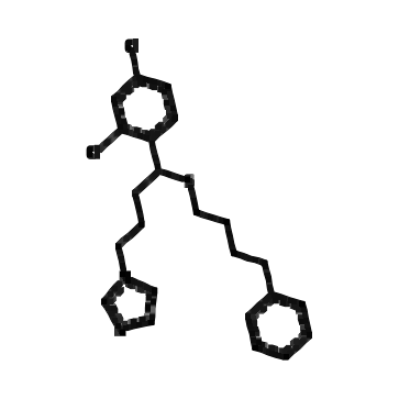 Clc1ccc(C(CCCn2ccnc2)SCCCCc2ccccc2)c(Cl)c1